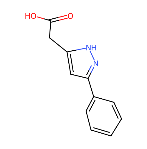 O=C(O)Cc1cc(-c2ccccc2)n[nH]1